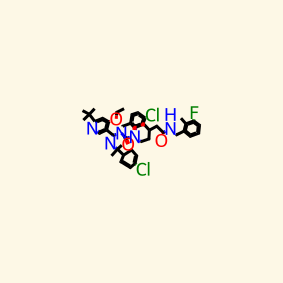 CCOc1cc(C(C)(C)C)ncc1/C(=N/C(C)(C)C1C=CC(Cl)=CC1)N(Cc1ccc(Cl)cc1)C(=O)N1CCC(CC(=O)NCc2cccc(F)c2C)CC1